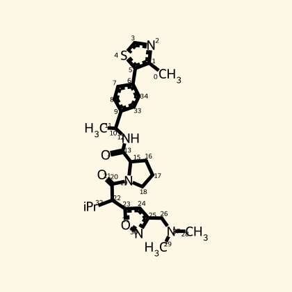 Cc1ncsc1-c1ccc(C(C)NC(=O)C2CCCN2C(=O)C(c2cc(CN(C)C)no2)C(C)C)cc1